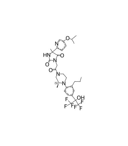 CCCc1cc(C(O)(C(F)(F)F)C(F)(F)F)ccc1N1CCN(C(=O)CN2C(=O)NC(C)(c3ccc(OC(C)C)cn3)C2=O)C[C@@H]1C